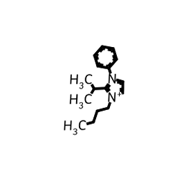 CCCC[n+]1ccn(-c2ccccc2)c1C(C)C